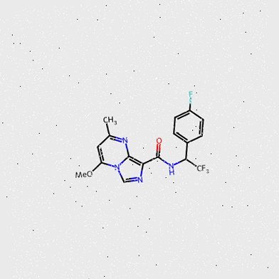 COc1cc(C)nc2c(C(=O)NC(c3ccc(F)cc3)C(F)(F)F)ncn12